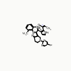 C=C(c1cc[nH]c1/C(Cl)=C\C)c1c2c(nn1-c1c(C)cccc1C)CCN(c1ncc(C(C)C)cn1)C2